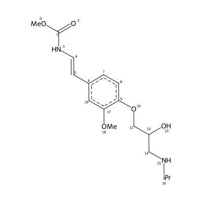 COC(=O)NC=Cc1ccc(OCC(O)CNC(C)C)c(OC)c1